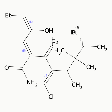 C=C(/C(=C\C(O)=C/CC)C(N)=O)/C(=C/Cl)C(C)C(C)(C)C(C)[C@@H](C)CC